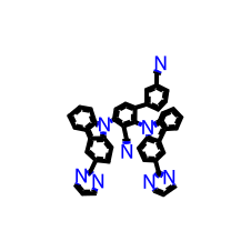 N#Cc1cccc(-c2ccc(-n3c4ccccc4c4cc(-c5ncccn5)ccc43)c(C#N)c2-n2c3ccccc3c3cc(-c4ncccn4)ccc32)c1